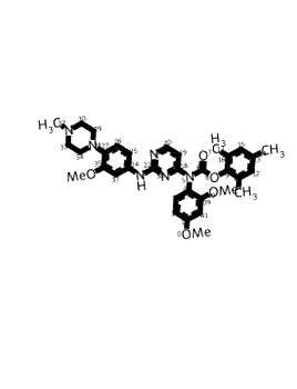 COc1ccc(N(C(=O)Oc2c(C)cc(C)cc2C)c2ccnc(Nc3ccc(N4CCN(C)CC4)c(OC)c3)n2)c(OC)c1